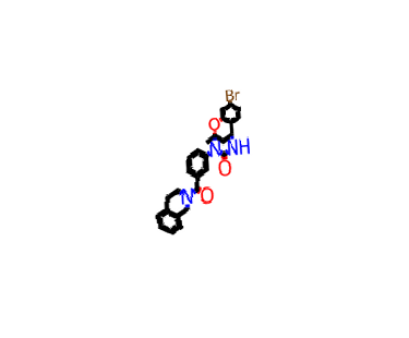 CC12CC(NC(=O)N1c1cccc(C(=O)N3CCc4ccccc4C3)c1)c1ccc(Br)cc1O2